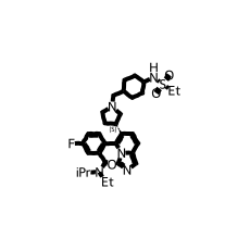 CCN(C(=O)c1cc(F)ccc1-c1c([C@@H]2CCN(CC3CCC(NS(=O)(=O)CC)CC3)C2)ccc2cncn12)C(C)C